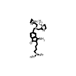 CCCN(CCC)CCCCC1=C(N)c2cc(CN(CC3=NCCN3C)Cc3ncc[nH]3)ccc2C1=O